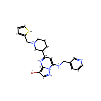 Brc1cnn2c(NCc3cccnc3)cc(C3CCCN(Cc4cccs4)C3)nc12